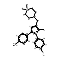 Cc1c(CN2CCS(C)(C)CC2)cc(-c2ccc(Cl)cc2)n1-c1ccc(Cl)cc1